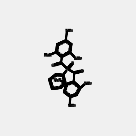 CNc1cc(NC)c(C(=O)P(=S)(C(=O)c2c(NC)cc(NC)cc2NC)c2ccccc2)c(NC)c1